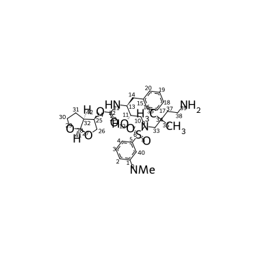 CNc1cccc(S(=O)(=O)N(C[C@H](O)[C@H](Cc2ccccc2)NC(=O)O[C@H]2CO[C@H]3OCC[C@H]32)CC(C)(C)CCN)c1